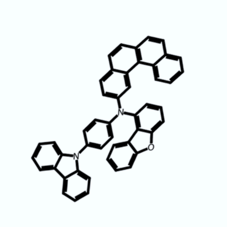 c1ccc2c(c1)ccc1ccc3ccc(N(c4ccc(-n5c6ccccc6c6ccccc65)cc4)c4cccc5oc6ccccc6c45)cc3c12